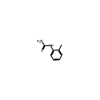 [CH2]c1ccccc1NC(N)=S